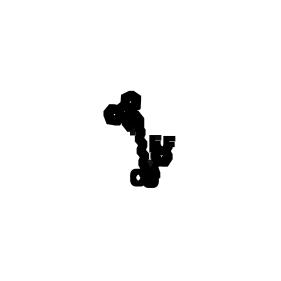 O=C1OC[C@H](c2ccc(F)c(F)c2)N1CCCCCCN1CCC2(CC1)c1ccccc1-c1ccccc12